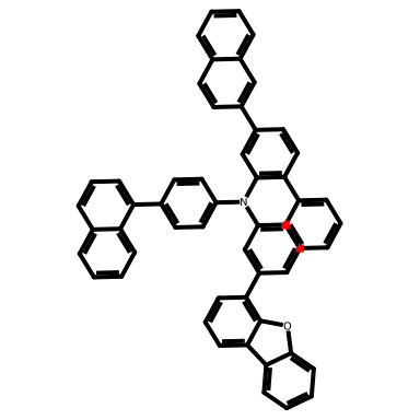 c1ccc(-c2ccc(-c3ccc4ccccc4c3)cc2N(c2ccc(-c3cccc4ccccc34)cc2)c2cccc(-c3cccc4c3oc3ccccc34)c2)cc1